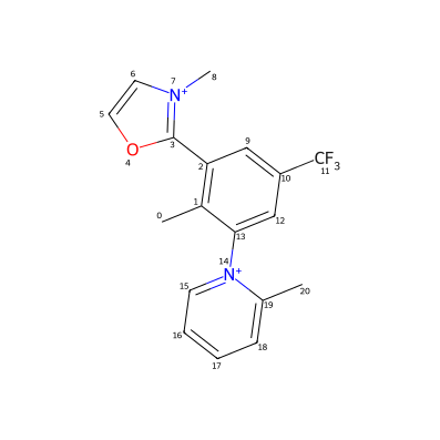 Cc1c(-c2occ[n+]2C)cc(C(F)(F)F)cc1-[n+]1ccccc1C